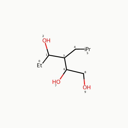 CCC(O)C(CC(C)C)C(O)CO